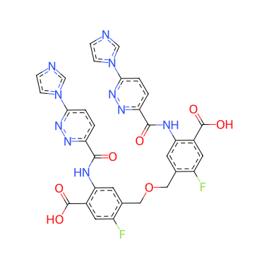 O=C(Nc1cc(COCc2cc(NC(=O)c3ccc(-n4ccnc4)nn3)c(C(=O)O)cc2F)c(F)cc1C(=O)O)c1ccc(-n2ccnc2)nn1